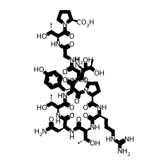 C[C@@H](O)[C@H](N)C(=O)N[C@@H](Cc1ccc(O)cc1)C(=O)N1CCC[C@H]1C(=O)N[C@@H](CCCNC(=N)N)C(=O)N[C@H](C(=O)N[C@@H](CC(N)=O)C(=O)N[C@H](C(=O)NCC(=O)N[C@@H](CO)C(=O)NCC(=O)N[C@H](C(=O)N1CCC[C@H]1C(=O)O)[C@@H](C)O)[C@@H](C)O)[C@@H](C)O